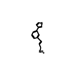 NCC=Cc1cccc(-c2ccsc2)c1